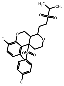 CC(C)S(=O)(=O)CCC1OCCC2(S(=O)(=O)c3ccc(Cl)cc3)c3c(F)ccc(F)c3OCC12